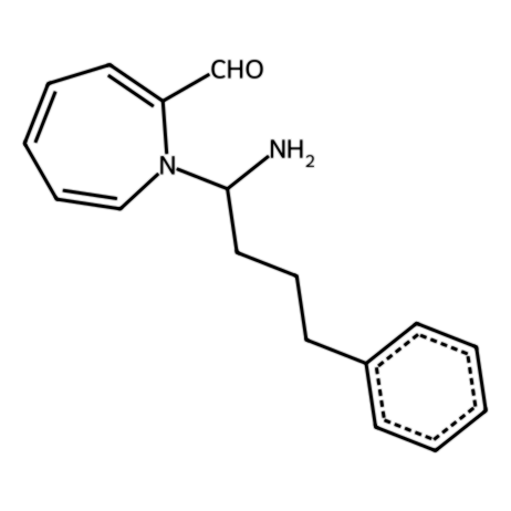 NC(CCCc1ccccc1)N1C=CC=CC=C1C=O